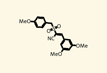 COc1ccc(CS(=O)(=O)C(C#N)=Cc2cc(OC)cc(OC)c2)cc1